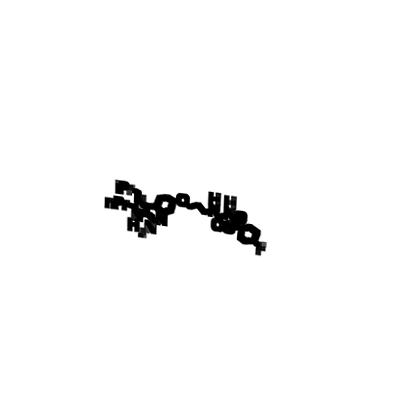 CCCc1nc2c(N)nc3cc(OCCCNC(=O)NS(=O)(=O)c4ccc(F)cc4)ccc3c2n1CC(C)C